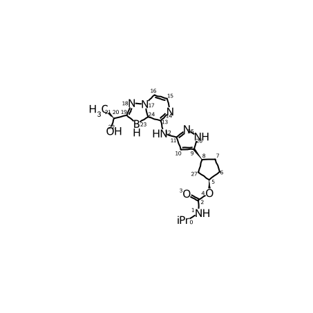 CC(C)NC(=O)O[C@@H]1CC[C@H](c2cc(NC3=NC=CN4N=C([C@H](C)O)BC34)n[nH]2)C1